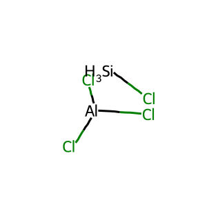 [Cl][Al]([Cl])[Cl].[SiH3]Cl